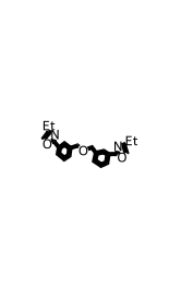 CCc1coc(-c2cccc(COCc3cccc(-c4nc(CC)co4)c3)c2)n1